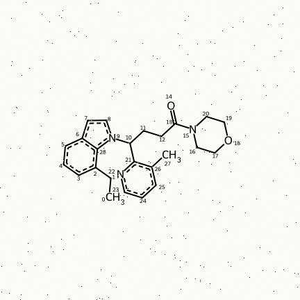 CCc1cccc2ccn(C(CCC(=O)N3CCOCC3)c3ncccc3C)c12